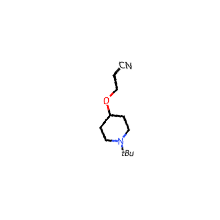 CC(C)(C)N1CCC(OCCC#N)CC1